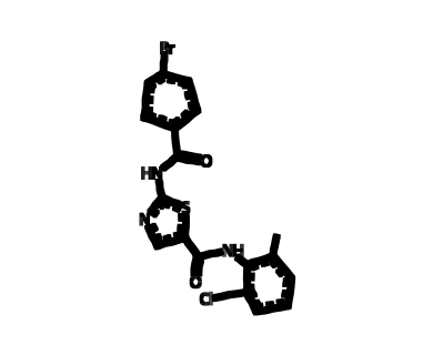 Cc1cccc(Cl)c1NC(=O)c1cnc(NC(=O)c2ccc(Br)cc2)s1